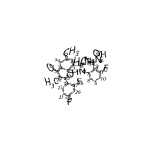 Cc1cc([C@@H](C)Nc2cccc(F)c2/C(N)=N/O)c2oc(-c3ccc(F)cc3F)c(C)c(=O)c2c1